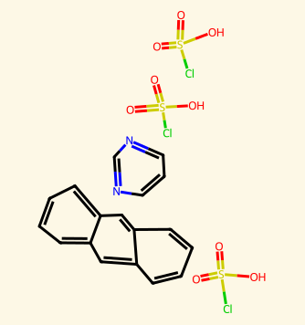 O=S(=O)(O)Cl.O=S(=O)(O)Cl.O=S(=O)(O)Cl.c1ccc2cc3ccccc3cc2c1.c1cncnc1